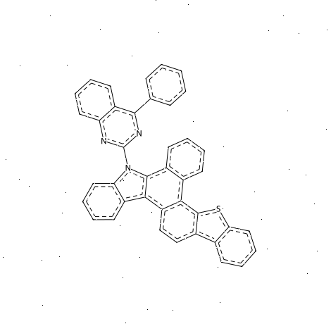 c1ccc(-c2nc(-n3c4ccccc4c4c5ccc6c7ccccc7sc6c5c5ccccc5c43)nc3ccccc23)cc1